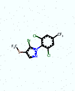 FC(F)(F)Sc1cnn(-c2c(Cl)cc(C(F)(F)F)cc2Cl)c1Br